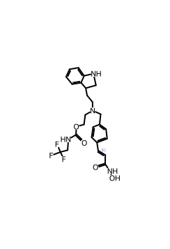 O=C(/C=C/c1ccc(CN(CCOC(=O)NCC(F)(F)F)CCC2CNc3ccccc32)cc1)NO